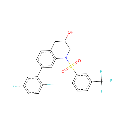 O=S(=O)(c1cccc(C(F)(F)F)c1)N1CC(O)Cc2ccc(-c3cc(F)ccc3F)cc21